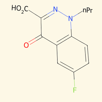 CCCn1nc(C(=O)O)c(=O)c2cc(F)ccc21